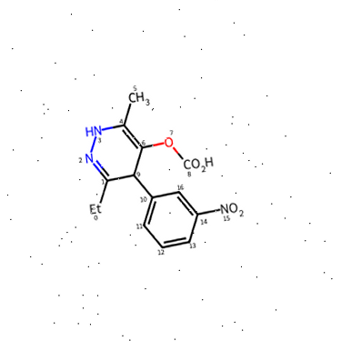 CCC1=NNC(C)=C(OC(=O)O)C1c1cccc([N+](=O)[O-])c1